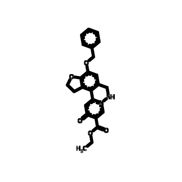 CCOC(=O)c1cn2c(cc1=O)-c1c(cc(OCc3ccccc3)c3c1CCO3)CN2